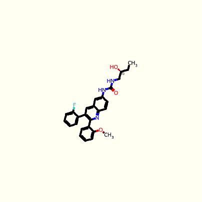 CC[C@H](O)CNC(=O)Nc1ccc2nc(-c3ccccc3OC)c(-c3ccccc3F)cc2c1